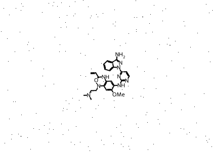 C=CC(=O)Nc1cc(Nc2nccc(-n3nc(N)c4ccccc43)n2)c(OC)cc1N(C)CCN(C)C